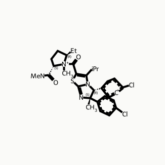 CC[C@@H]1CC[C@@H](C(=O)NC)[N+]1(C)C(=O)C1=C(C(C)C)N2C(=N[C@@](C)(c3ccc(Cl)cc3)[C@H]2c2ccc(Cl)cc2)S1